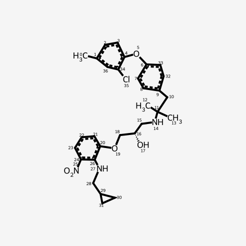 Cc1ccc(Oc2ccc(CC(C)(C)NC[C@H](O)COc3cccc([N+](=O)[O-])c3NCC3CC3)cc2)c(Cl)c1